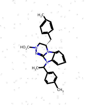 Cc1ccc(C[C@H]2CN(C(=O)O)N=C3N(C(C)c4ccc(C)cc4)c4ccccc4N32)cc1